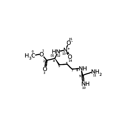 COC(=O)[C@H](CCCNC(=N)N)N[N+](=O)[O-]